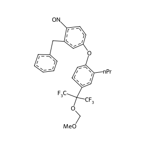 CCCc1cc(C(OCOC)(C(F)(F)F)C(F)(F)F)ccc1Oc1ccc(N=O)c(Cc2ccccc2)c1